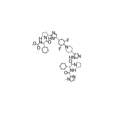 COC(=O)N[C@@H](C(=O)N1CCC[C@H]1c1ncc(-c2cc(F)c(N3CCC(c4cnc([C@@H]5CCCN5C(=O)[C@H](NC(=O)c5nccn5C)c5ccccc5)[nH]4)CC3)c(F)c2)[nH]1)c1ccccc1